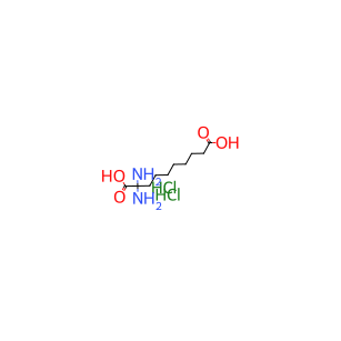 Cl.Cl.NC(N)(CCCCCCCC(=O)O)C(=O)O